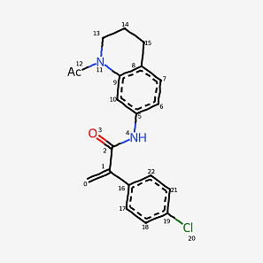 C=C(C(=O)Nc1ccc2c(c1)N(C(C)=O)CCC2)c1ccc(Cl)cc1